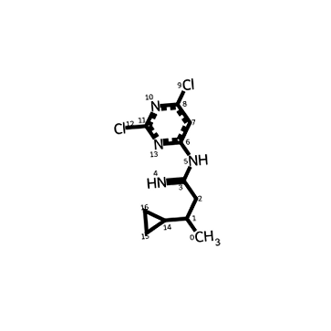 CC(CC(=N)Nc1cc(Cl)nc(Cl)n1)C1CC1